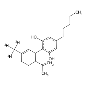 [2H]C([2H])([2H])C1=CC(c2c(O)cc(CCCCC)cc2O)C(C(=C)C)CC1